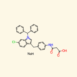 O=C(O)CC(=O)Nc1ccc(Cc2cn(C(c3ccccc3)c3ccccc3)c3cc(Cl)ccc23)cc1.[NaH]